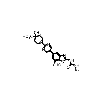 CCNC(=O)Nc1nc2cc(-c3cnc(N4CCC(C)(C(=O)O)CC4)nc3)cc(C=O)c2s1